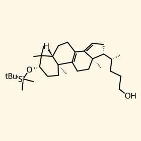 C[C@H](CCCO)[C@H]1CC=C2C3=C(CC[C@@]21C)[C@@]1(C)CC[C@H](O[Si](C)(C)C(C)(C)C)C(C)(C)[C@@H]1CC3